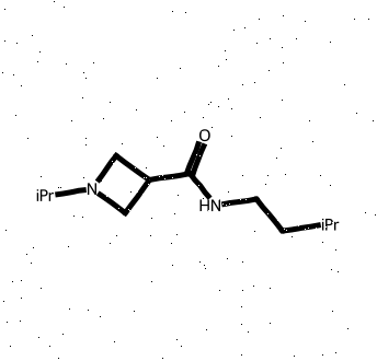 CC(C)CCNC(=O)C1CN(C(C)C)C1